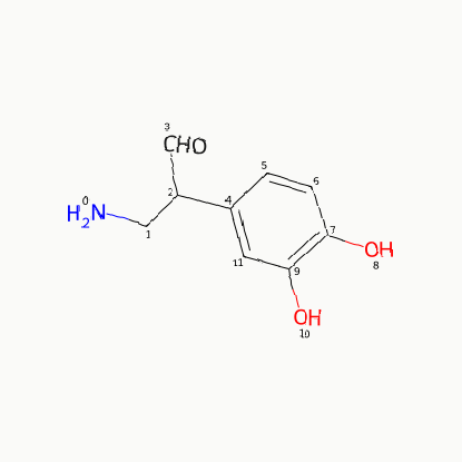 NCC(C=O)c1ccc(O)c(O)c1